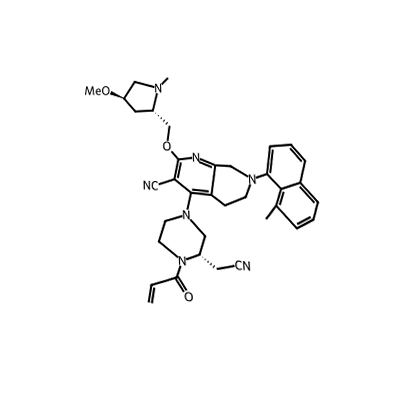 C=CC(=O)N1CCN(c2c(C#N)c(OC[C@@H]3C[C@@H](OC)CN3C)nc3c2CCN(c2cccc4cccc(C)c24)C3)C[C@@H]1CC#N